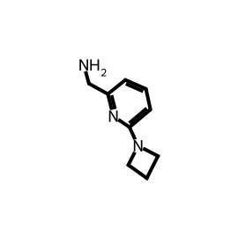 NCc1cccc(N2CCC2)n1